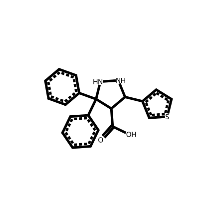 O=C(O)C1C(c2ccsc2)NNC1(c1ccccc1)c1ccccc1